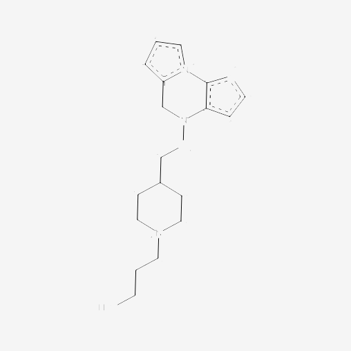 CCCCN1CCC(CON2Cc3cccn3-c3sccc32)CC1